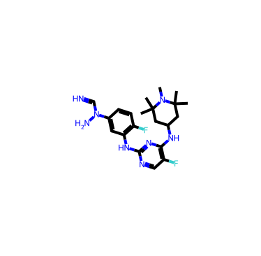 CN1C(C)(C)CC(Nc2nc(Nc3cc(N(N)C=N)ccc3F)ncc2F)CC1(C)C